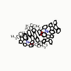 CC(C)(C)c1ccc2c(c1)C1(c3cc(C(C)(C)C)c(-c4ccc5c(c4)C4(c6ccccc6-5)c5ccccc5-c5c(N(c6ccccc6-c6ccccc6)c6cccc7c6-c6ccccc6C76c7ccccc7-c7ccccc76)cccc54)cc3-2)c2ccccc2-c2c(N(c3ccccc3-c3ccccc3)c3cccc4c3-c3ccccc3C4(C)C)cccc21